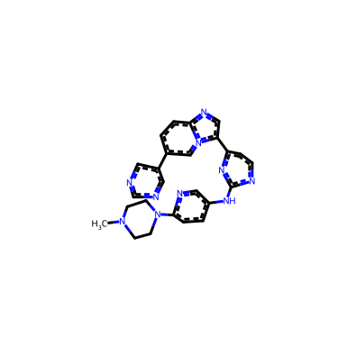 CN1CCN(c2ccc(Nc3nccc(-c4cnc5ccc(-c6cncnc6)cn45)n3)cn2)CC1